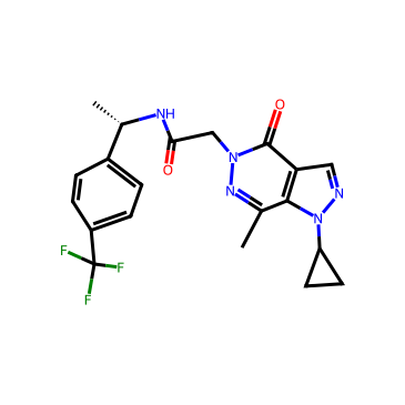 Cc1nn(CC(=O)N[C@@H](C)c2ccc(C(F)(F)F)cc2)c(=O)c2cnn(C3CC3)c12